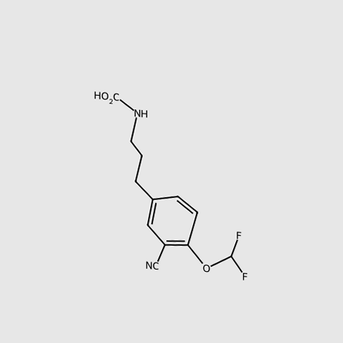 N#Cc1cc(CCCNC(=O)O)ccc1OC(F)F